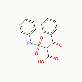 O=C(O)C(C(=O)c1ccccc1)S(=O)(=O)Nc1ccccc1